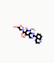 Cn1c(=O)c(C(=O)NCC(=O)O)c(O)c2cnc(-c3cccc4ncccc34)nc21